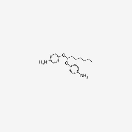 CCCCCCC(Oc1ccc(N)cc1)Oc1ccc(N)cc1